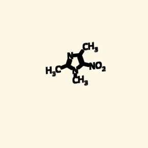 Cc1nc(C)n(C)c1[N+](=O)[O-]